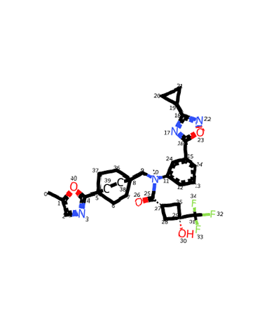 Cc1cnc(C23CCC(CN(c4cccc(-c5nc(C6CC6)no5)c4)C(=O)[C@H]4C[C@](O)(C(F)(F)F)C4)(CC2)CC3)o1